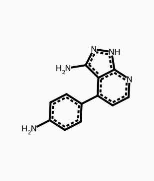 Nc1ccc(-c2ccnc3[nH]nc(N)c23)cc1